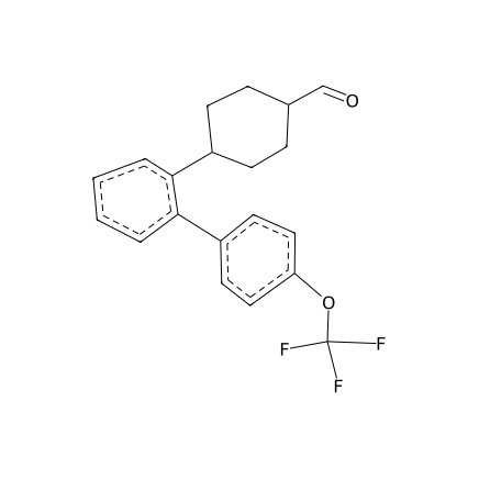 O=CC1CCC(c2ccccc2-c2ccc(OC(F)(F)F)cc2)CC1